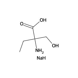 CCC(N)(CO)C(=O)O.[NaH]